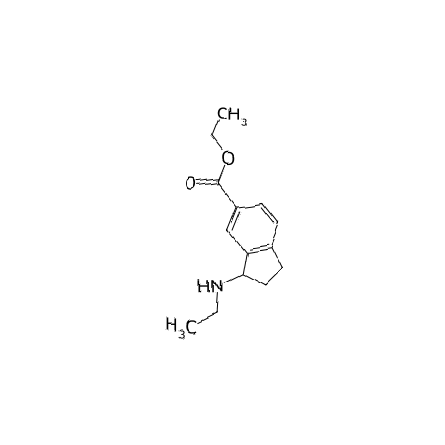 CCNC1CCc2ccc(C(=O)OCC)cc21